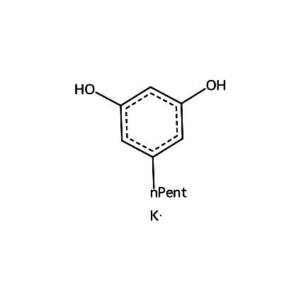 CCCCCc1cc(O)cc(O)c1.[K]